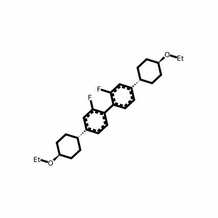 CCO[C@H]1CC[C@H](c2ccc(-c3ccc([C@H]4CC[C@H](OCC)CC4)cc3F)c(F)c2)CC1